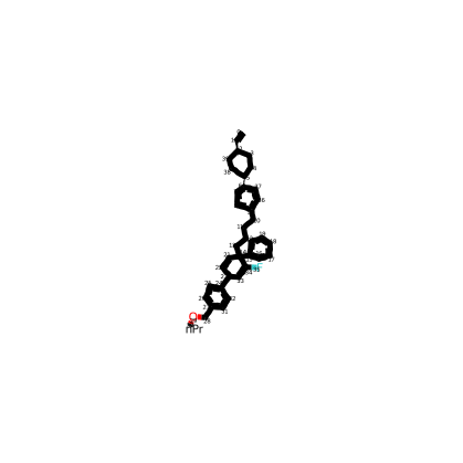 C=C[C@H]1CC[C@H](c2ccc(CCCCC3(c4ccccc4)C=CC(c4ccc(COCCC)cc4)C=C3F)cc2)CC1